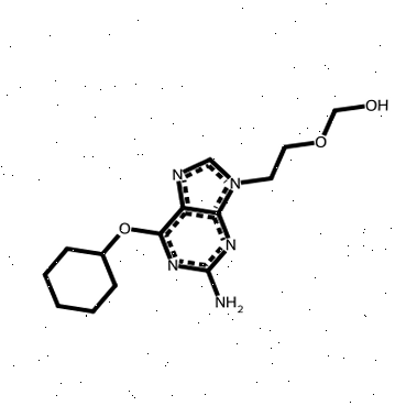 Nc1nc(OC2CCCCC2)c2ncn(CCOCO)c2n1